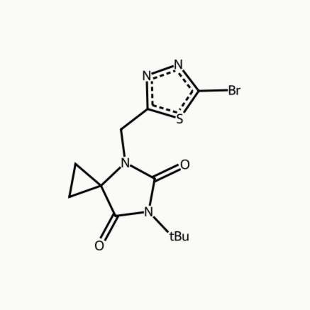 CC(C)(C)N1C(=O)N(Cc2nnc(Br)s2)C2(CC2)C1=O